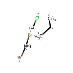 C[CH]C.[Br][Mg][Br].[Li][Cl]